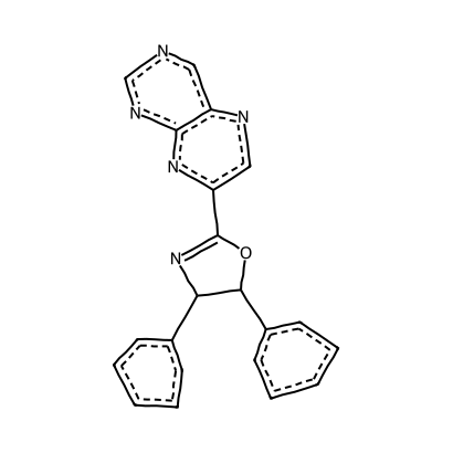 c1ccc(C2N=C(c3cnc4cncnc4n3)OC2c2ccccc2)cc1